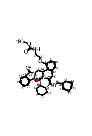 CC(C)(C)OC(=O)NCCOc1cccc2c1C(CN1C(=O)c3ccccc3C1=O)N(C(=O)[C@@H]1CCCC[C@@H]1C(=O)OCc1ccccc1)CC2